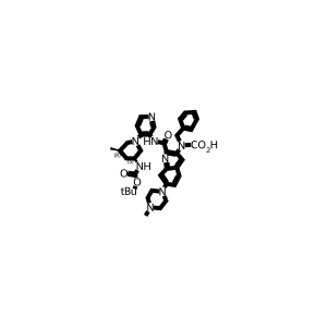 C[C@@H]1C[C@H](NC(=O)OC(C)(C)C)CN(c2ccncc2NC(=O)c2nc3cc(N4CCN(C)CC4)ccc3cc2N(Cc2ccccc2)C(=O)O)C1